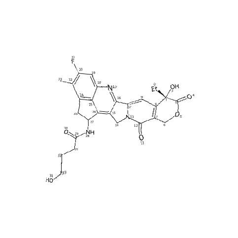 CC[C@@]1(O)C(=O)OCc2c1cc1n(c2=O)Cc2c-1nc1cc(F)c(C)c3c1c2C(NC(=O)CCCO)C3